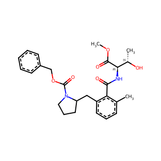 COC(=O)[C@H](NC(=O)c1c(C)cccc1CC1CCCN1C(=O)OCc1ccccc1)[C@H](C)O